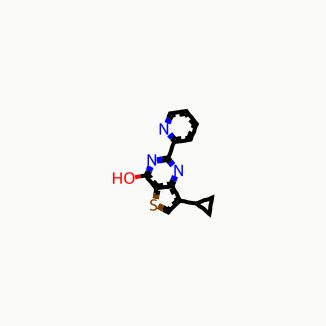 Oc1nc(-c2ccccn2)nc2c(C3CC3)csc12